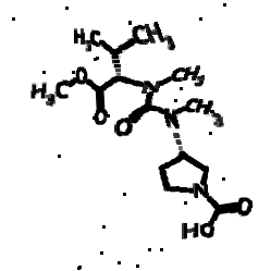 COC(=O)[C@H](C(C)C)N(C)C(=O)N(C)[C@H]1CCN(C(=O)O)C1